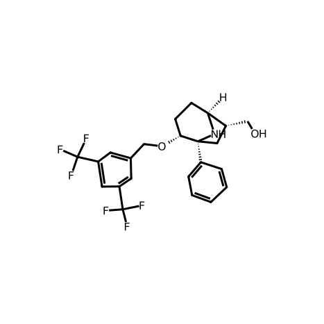 OC[C@@H]1C[C@]2(c3ccccc3)N[C@H]1CC[C@H]2OCc1cc(C(F)(F)F)cc(C(F)(F)F)c1